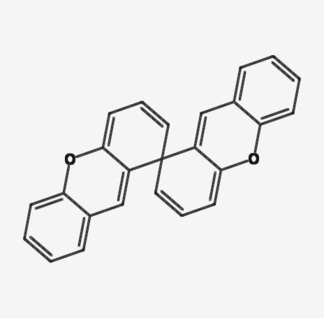 C1=CC2(C=CC=C3Oc4ccccc4C=C32)C2=Cc3ccccc3OC2=C1